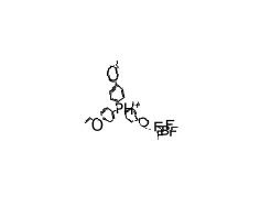 CCOc1ccc([PH+](c2ccc(OCC)cc2)c2ccc(OCC)cc2)cc1.F[B-](F)(F)F